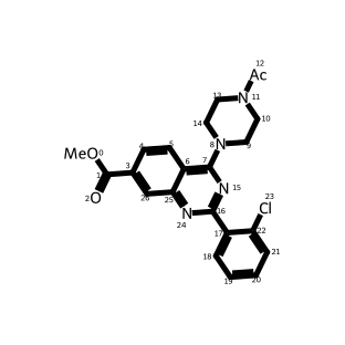 COC(=O)c1ccc2c(N3CCN(C(C)=O)CC3)nc(-c3ccccc3Cl)nc2c1